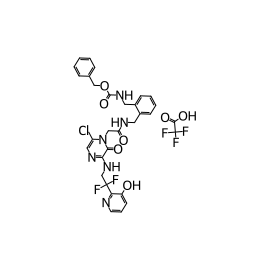 O=C(Cn1c(Cl)cnc(NCC(F)(F)c2ncccc2O)c1=O)NCc1ccccc1CNC(=O)OCc1ccccc1.O=C(O)C(F)(F)F